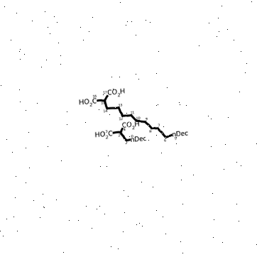 CCCCCCCCCCCC(C(=O)O)C(=O)O.CCCCCCCCCCCCCCCCCCCC(C(=O)O)C(=O)O